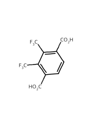 O=C(O)c1ccc(C(=O)O)c(C(F)(F)F)c1C(F)(F)F